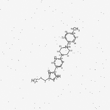 CCCc1c[nH]c(-c2ccc(N3CCN(c4ccc(C)cc4)CC3)nc2)n1